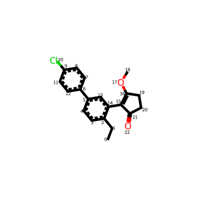 CCc1ccc(-c2ccc(Cl)cc2)cc1C1=C(OC)CCC1=O